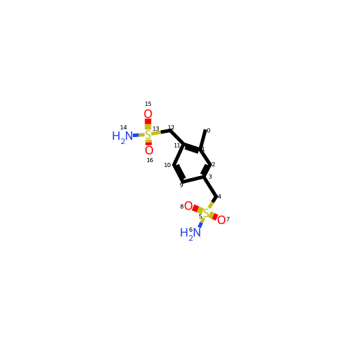 Cc1cc(CS(N)(=O)=O)ccc1CS(N)(=O)=O